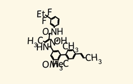 C/C=C/c1cc(C)c(-c2cc(-c3[nH]c(C)c(C(=O)Nc4cccc(C(F)(F)CC)c4)[n+]3O)ccc2OC)c(C)c1